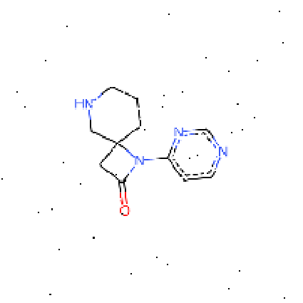 O=C1CC2(CCCNC2)N1c1ccncn1